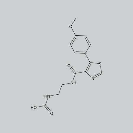 COc1ccc(-c2scnc2C(=O)NCCNC(=O)O)cc1